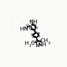 Cc1n[nH]c(C)c1-c1ccc(-c2ccc(=N)n(C=N)c2)cc1